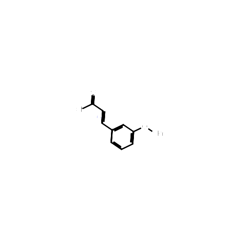 CCCOc1cccc(/C=C/C(=O)Cl)c1